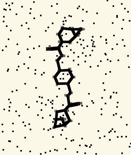 N=C(OCC1CCC(COC(=O)C2CC3CC(C2)O3)CC1)C1CCC2OC2C1